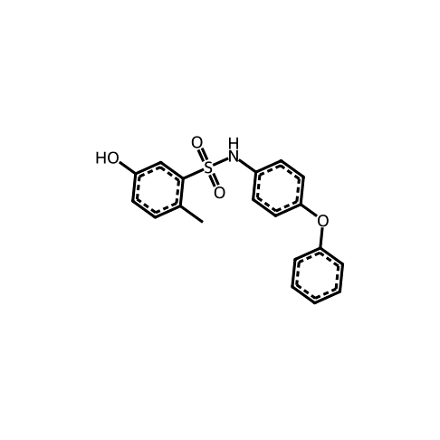 Cc1ccc(O)cc1S(=O)(=O)Nc1ccc(Oc2ccccc2)cc1